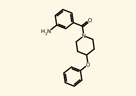 Nc1cccc(C(=O)N2CCC(Oc3ccccc3)CC2)c1